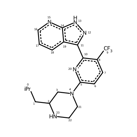 CC(C)CC1CN(c2ccc(C(F)(F)F)c(-c3n[nH]c4ncccc34)n2)CCN1